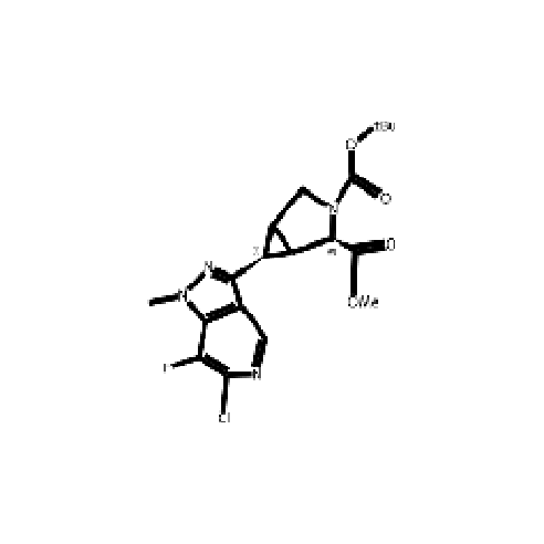 COC(=O)[C@H]1C2C(CN1C(=O)OC(C)(C)C)[C@@H]2c1nn(C)c2c(F)c(Cl)ncc12